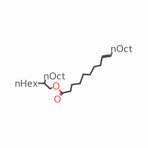 CCCCCCCCC=CCCCCCCCC(=O)OCC(CCCCCC)CCCCCCCC